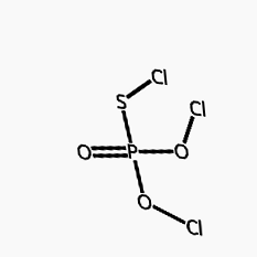 O=P(OCl)(OCl)SCl